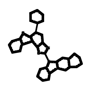 c1ccc(-c2cc3nc(-n4c5ccccc5c5cc6ccccc6cc54)oc3c3c2oc2ccccc23)cc1